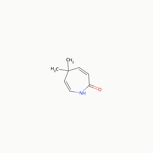 CC1(C)C=CNC(=O)C=C1